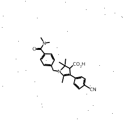 CC1=C(c2ccc(C#N)cc2)C(C(=O)O)C(C)(C)N1Cc1ccc(C(=O)N(C)C)cc1